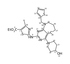 CCOC(=O)c1sc(Nc2nc(N3CCC(O)CC3)c3c(n2)N(Cc2cccs2)CCCC3)nc1C